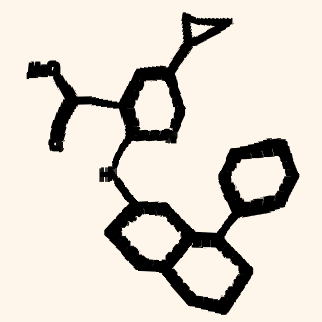 COC(=O)c1cc(C2CC2)cnc1Nc1ccc2cccc(-c3ccccc3)c2c1